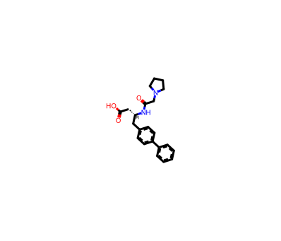 O=C(O)C[C@@H](Cc1ccc(-c2ccccc2)cc1)NC(=O)CN1CCCC1